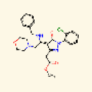 COC(=O)CC1=NN(c2ccccc2Cl)C(=O)C1=C(CN1CCOCC1)NCc1ccccc1